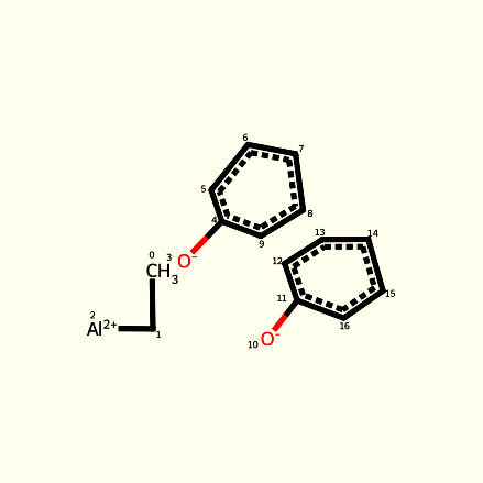 C[CH2][Al+2].[O-]c1ccccc1.[O-]c1ccccc1